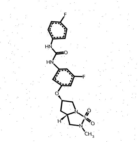 CN1C[C@@H]2C[C@@H](Oc3cc(F)cc(NC(=O)Nc4ccc(F)cc4)c3)CN2S1(=O)=O